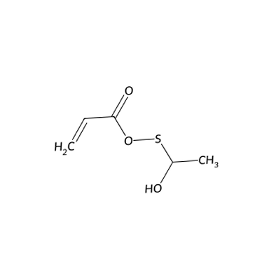 C=CC(=O)OSC(C)O